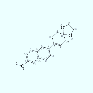 COc1ccc2cc(C3=CCC4(CC3)OCCO4)ccc2c1